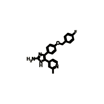 Cc1cc(-c2[nH]c(N)nc2-c2ccc(OCc3ccc(F)cc3)cc2)ccn1